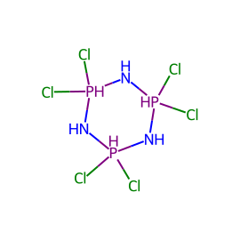 Cl[PH]1(Cl)N[PH](Cl)(Cl)N[PH](Cl)(Cl)N1